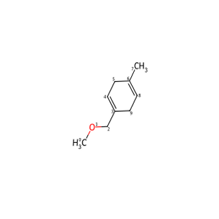 COCC1=CCC(C)=CC1